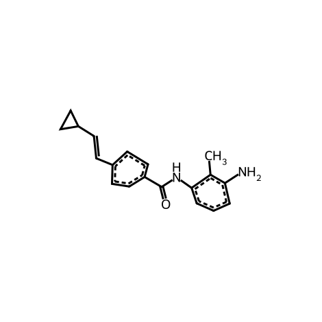 Cc1c(N)cccc1NC(=O)c1ccc(C=CC2CC2)cc1